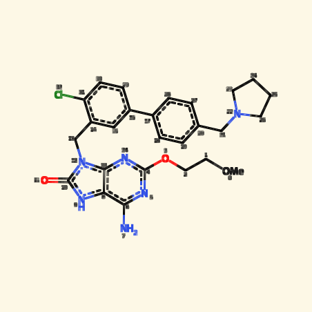 COCCOc1nc(N)c2[nH]c(=O)n(Cc3cc(-c4ccc(CN5CCCC5)cc4)ccc3Cl)c2n1